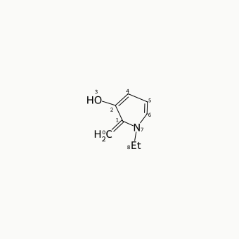 C=C1C(O)=CC=CN1CC